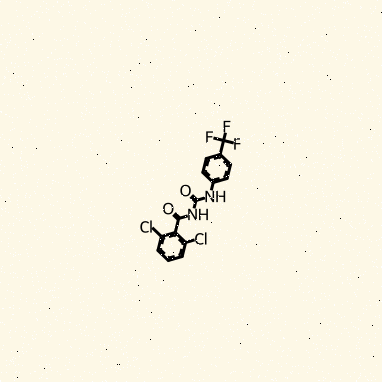 O=C(NC(=O)c1c(Cl)cccc1Cl)Nc1ccc(C(F)(F)F)cc1